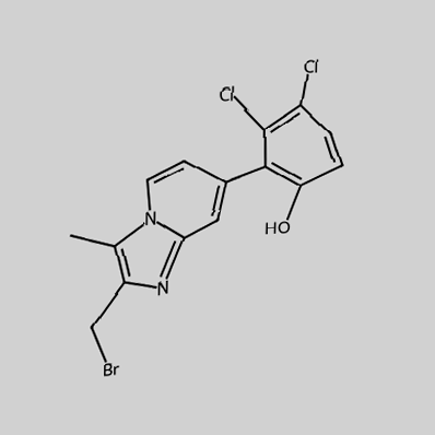 Cc1c(CBr)nc2cc(-c3c(O)ccc(Cl)c3Cl)ccn12